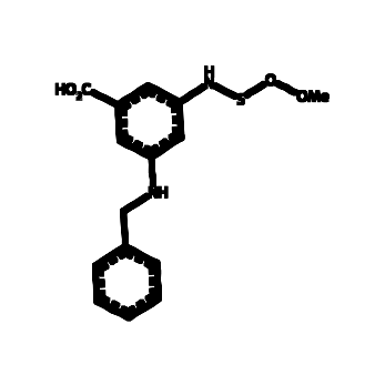 COOSNc1cc(NCc2ccccc2)cc(C(=O)O)c1